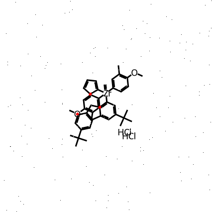 Cl.Cl.[CH2]=[Zr]([C]1=CC=CC1)([c]1ccc(OC)c(C)c1)([c]1ccc(OC)c(C)c1)[c]1cc(C(C)(C)C)cc2c1Cc1ccc(C(C)(C)C)cc1-2